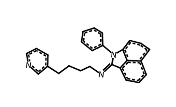 c1ccc(N2/C(=N\CCCCc3cccnc3)c3cccc4cccc2c34)cc1